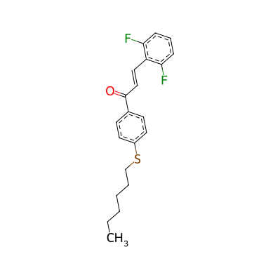 CCCCCCSc1ccc(C(=O)C=Cc2c(F)cccc2F)cc1